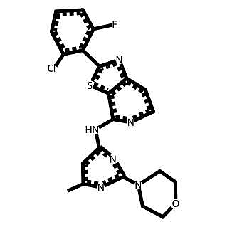 Cc1cc(Nc2nccc3nc(-c4c(F)cccc4Cl)sc23)nc(N2CCOCC2)n1